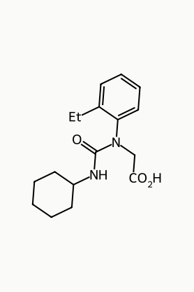 [CH2]Cc1ccccc1N(CC(=O)O)C(=O)NC1CCCCC1